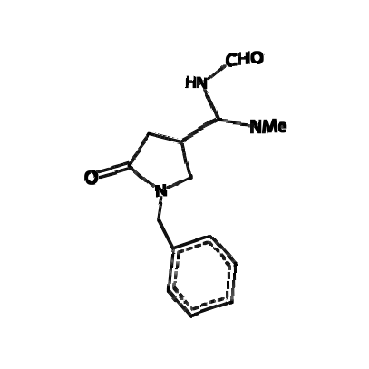 CNC(NC=O)C1CC(=O)N(Cc2ccccc2)C1